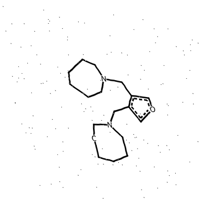 c1occ(CN2CCCCCC2)c1CN1CCCCCC1